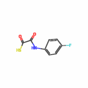 O=C(S)C(=O)Nc1ccc(F)cc1